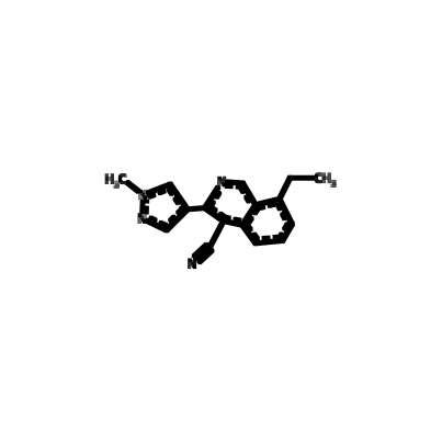 CCc1cccc2c(C#N)c(-c3cnn(C)c3)ncc12